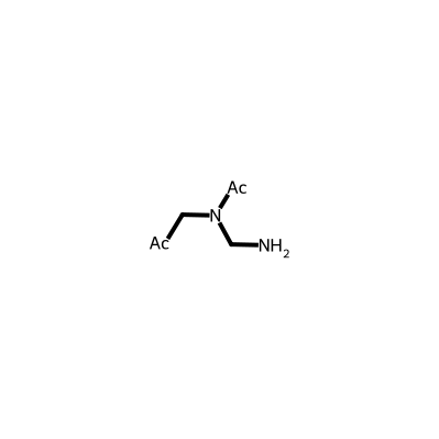 CC(=O)CN(CN)C(C)=O